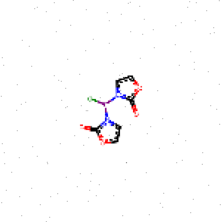 O=c1occn1P(Cl)n1ccoc1=O